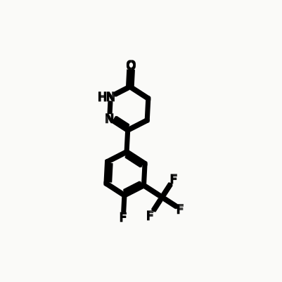 O=C1CCC(c2ccc(F)c(C(F)(F)F)c2)=NN1